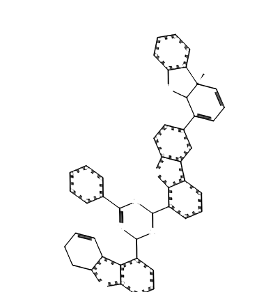 C1=C[C@H]2c3ccccc3OC2C(c2ccc3sc4c(C5NC(c6ccccc6)=NC(c6cccc7oc8c(c67)C=CCC8)N5)cccc4c3c2)=C1